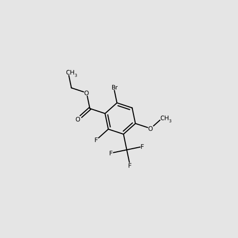 CCOC(=O)c1c(Br)cc(OC)c(C(F)(F)F)c1F